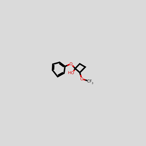 OC1(Oc2ccccc2)CCC1OC(F)(F)F